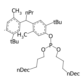 CCCCCCCCCCCCCOP(OCCCCCCCCCCCCC)Oc1cc(C)c(C(CCC)c2cc(C(C)(C)C)[c]cc2C)cc1C(C)(C)C